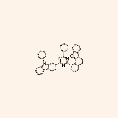 c1ccc(-c2nc(-c3ccc4c5ccccc5n(-c5ccccc5)c4c3)nc(-c3cccc4ccc5c6ccccc6oc5c34)n2)cc1